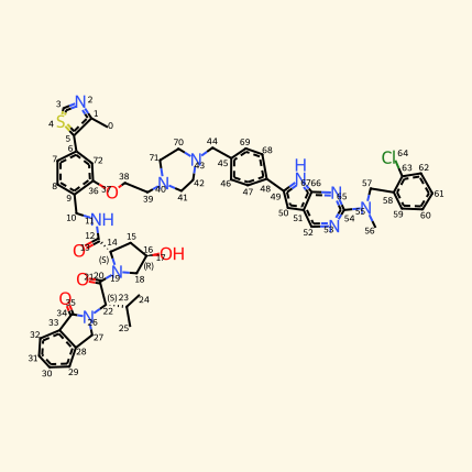 Cc1ncsc1-c1ccc(CNC(=O)[C@@H]2C[C@@H](O)CN2C(=O)[C@H](C(C)C)N2Cc3ccccc3C2=O)c(OCCN2CCN(Cc3ccc(-c4cc5cnc(N(C)Cc6ccccc6Cl)nc5[nH]4)cc3)CC2)c1